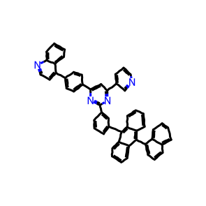 c1cncc(-c2cc(-c3ccc(-c4ccnc5ccccc45)cc3)nc(-c3cccc(-c4c5ccccc5c(-c5cccc6ccccc56)c5ccccc45)c3)n2)c1